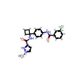 Cn1ccc(C(=O)NC2(c3ccc(NC(=O)c4cccc(Cl)c4)cc3)CCC2)n1